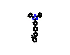 C[Si]1(C)c2ccccc2-c2ccc(-c3ccc(-c4ccc(-c5nc(-c6ccccc6)nc(-c6ccccc6)n5)cc4)cc3)cc21